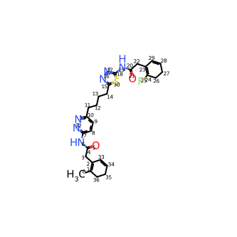 CC1=C(CC(=O)Nc2ccc(CCCCc3nnc(NC(=O)CC4=C(F)CCC=C4)s3)nn2)C=CCC1